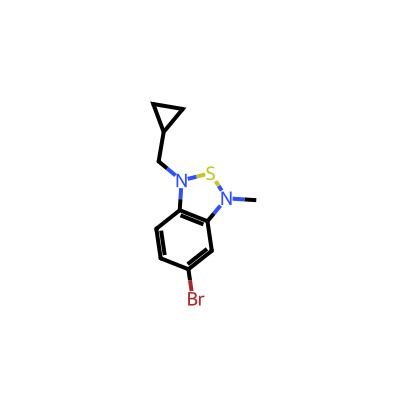 CN1SN(CC2CC2)c2ccc(Br)cc21